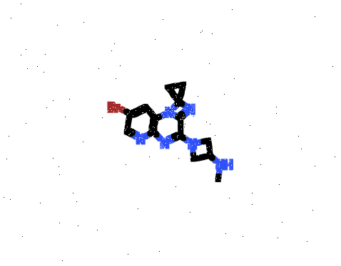 CNC1CN(C2=Nc3ncc(Br)cc3N3C2=NC32CC2)C1